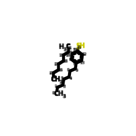 CCCCCCCc1ccc(S)cc1.CCC[CH]CCCC